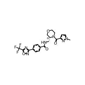 Cn1ccc(C(=O)N2CCOC[C@H]2CNC(=O)c2ccc(-c3noc(C(F)(F)F)n3)cc2)n1